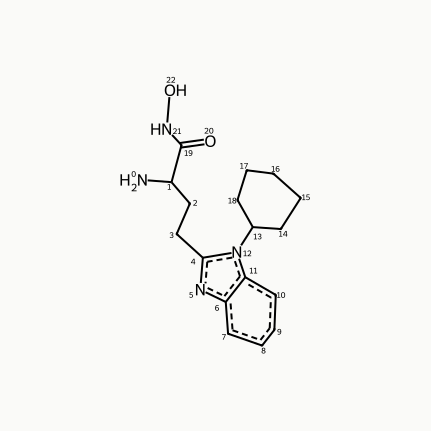 NC(CCc1nc2ccccc2n1C1CCCCC1)C(=O)NO